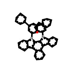 c1ccc(-c2cc(-c3ccccc3)cc(-n3c4ccccc4c4c5ccccc5c5c6ccccc6n(-c6ccccc6)c5c43)c2)cc1